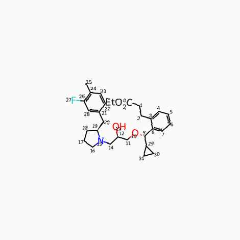 CCOC(=O)CCc1ccccc1[C@@H](OC[C@H](O)CN1CCC[C@H]1Cc1ccc(C)c(F)c1)C1CC1